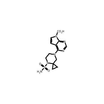 NS(=O)(=O)N1CCN(c2ncnc3c2ccn3C(=O)O)CC12CC2